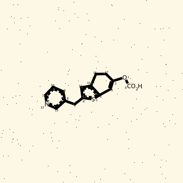 O=C(O)OC1=Cc2sc(Cc3cccnc3)cc2CC1